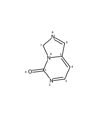 O=c1nccc2n1CN=C2